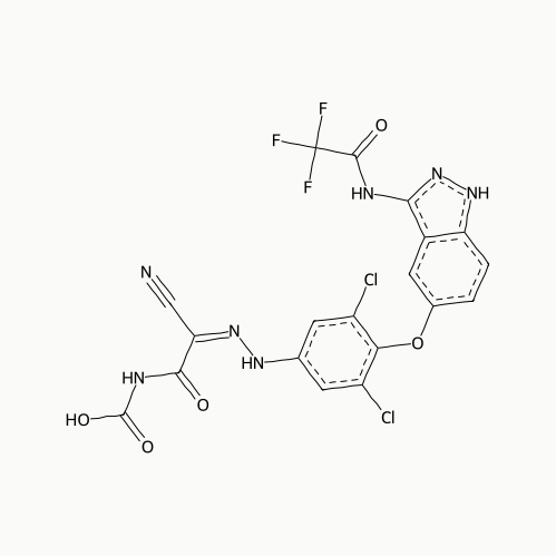 N#CC(=NNc1cc(Cl)c(Oc2ccc3[nH]nc(NC(=O)C(F)(F)F)c3c2)c(Cl)c1)C(=O)NC(=O)O